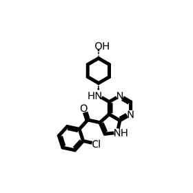 O=C(c1ccccc1Cl)c1c[nH]c2ncnc(N[C@H]3CC[C@@H](O)CC3)c12